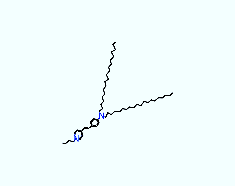 CCCCCCCCCCCCCCCCCCCCN(CCCCCCCCCCCCCCCCCCCC)c1ccc(C=Cc2cc[n+](CCCC)cc2)cc1